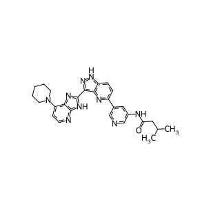 CC(C)CC(=O)Nc1cncc(-c2ccc3[nH]nc(-c4nc5c(N6CCCCC6)ccnc5[nH]4)c3n2)c1